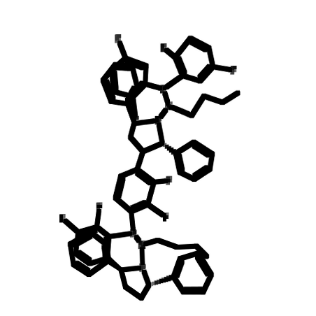 CCCCN(P(c1cc(F)ccc1F)c1cc(F)ccc1F)P1[C@H](c2ccccc2)C(c2ccc(P(c3cccc(F)c3F)N(CCCC)P3[C@H](c4ccccc4)CC[C@H]3c3ccccc3)c(F)c2F)C[C@H]1c1ccccc1